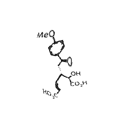 COc1ccc(C(=O)C[C@@H](C=CC(=O)O)[C@@H](O)C(=O)O)cc1